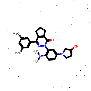 COc1cc(OC)cc(-c2nn(-c3cc(N4CCC(O)C4)ccc3N(C)C)c(=O)c3c2CCC3)c1